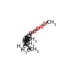 CCCOCCOCCOCCOCCO[C@H]1CC[C@@]2(C)C(=CC[C@@H]3[C@@H]2CC[C@]2(C)C([C@H](C)CCCC(C)C)CC[C@@H]32)C1